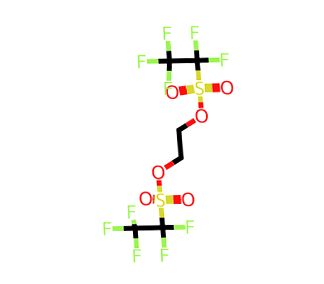 O=S(=O)(OCCOS(=O)(=O)C(F)(F)C(F)(F)F)C(F)(F)C(F)(F)F